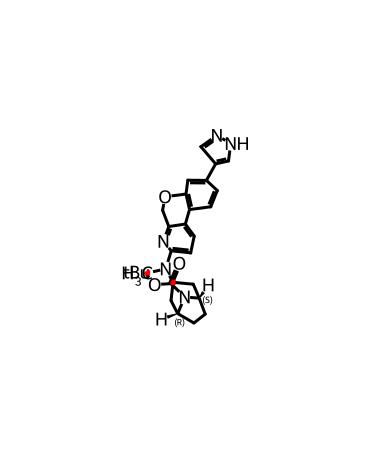 CN(c1ccc2c(n1)COc1cc(-c3cn[nH]c3)ccc1-2)C1C[C@H]2CC[C@@H](C1)N2C(=O)OC(C)(C)C